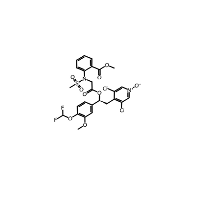 COC(=O)c1ccccc1N(CC(=O)O[C@@H](Cc1c(Cl)c[n+]([O-])cc1Cl)c1ccc(OC(F)F)c(OC)c1)S(C)(=O)=O